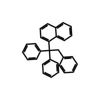 c1ccc(CC(c2ccccc2)(c2ccccc2)c2cccc3ccccc23)cc1